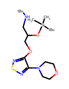 CC(C)(C)NCC(COc1nsnc1N1CCOCC1)O[Si](C)(C)C(C)(C)C